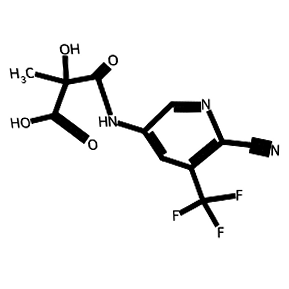 CC(O)(C(=O)O)C(=O)Nc1cnc(C#N)c(C(F)(F)F)c1